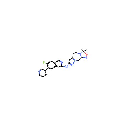 Cc1ccncc1-c1cc2cc(Nc3cc4n(n3)CC3=NOC(C)(C)N3CC4)ncc2cc1F